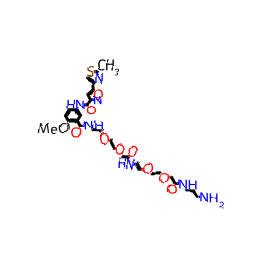 COc1ccc(NC(=O)c2cc(-c3csc(C)n3)on2)cc1C(=O)NCCOCCOCC(=O)NCCOCCOCC(=O)NCCCN